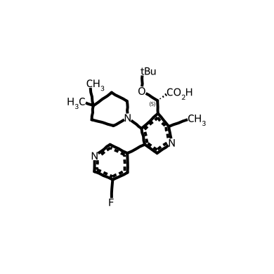 Cc1ncc(-c2cncc(F)c2)c(N2CCC(C)(C)CC2)c1[C@H](OC(C)(C)C)C(=O)O